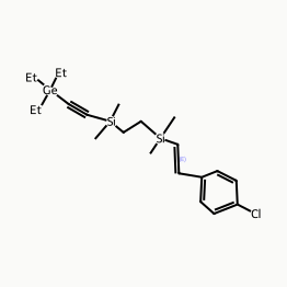 C[CH2][Ge]([C]#C[Si](C)(C)CC[Si](C)(C)/C=C/c1ccc(Cl)cc1)([CH2]C)[CH2]C